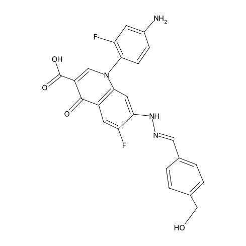 Nc1ccc(-n2cc(C(=O)O)c(=O)c3cc(F)c(N/N=C/c4ccc(CO)cc4)cc32)c(F)c1